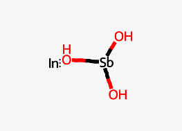 [In].[OH][Sb]([OH])[OH]